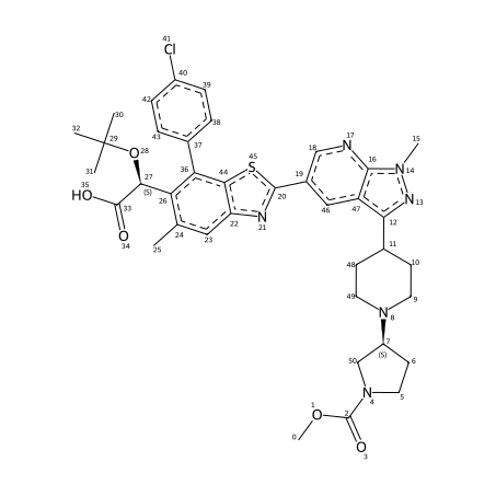 COC(=O)N1CC[C@H](N2CCC(c3nn(C)c4ncc(-c5nc6cc(C)c([C@H](OC(C)(C)C)C(=O)O)c(-c7ccc(Cl)cc7)c6s5)cc34)CC2)C1